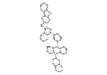 c1cc(-c2c3ccccc3c(-c3ccc4ccccc4c3)c3ccccc23)cc(-c2cc3c4cc5sc6ccccc6c5cc4sc3c3ccccc23)c1